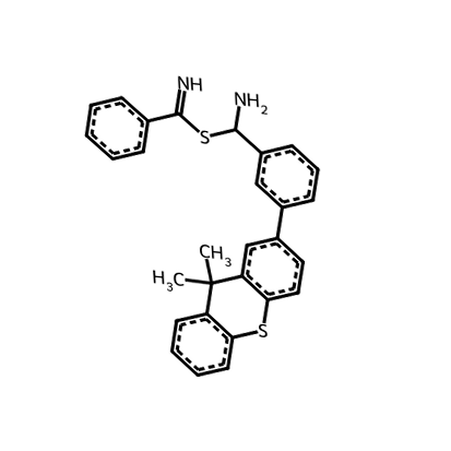 CC1(C)c2ccccc2Sc2ccc(-c3cccc(C(N)SC(=N)c4ccccc4)c3)cc21